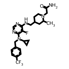 CC1CC(CNc2ncnc(N(Cc3ccc(C(F)(F)F)cc3)C3CC3)c2F)CCN1CC(N)=O